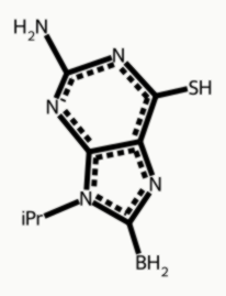 Bc1nc2c(S)nc(N)nc2n1C(C)C